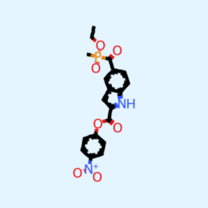 CCOP(C)(=O)C(=O)c1ccc2[nH]c(C(=O)Oc3ccc([N+](=O)[O-])cc3)cc2c1